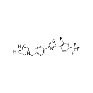 CCN(CC)Cc1ccc(-c2csc(-c3ccc(C(F)(F)F)cc3F)n2)cc1